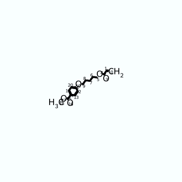 C=CC(=O)OCCCCCOc1ccc(C(=O)OC)cc1